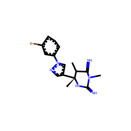 CC1C(=N)N(C)C(=N)N[C@]1(C)c1cnn(-c2cccc(Br)c2)c1